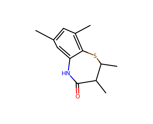 Cc1cc(C)c2c(c1)NC(=O)C(C)C(C)S2